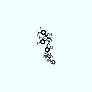 CC(C)(c1ccc(F)c(C(F)F)c1)c1cnc(SCc2ccc(S(=O)(=O)NC(=O)NN3CCCC3)cc2Cl)n1-c1ccc(F)cc1